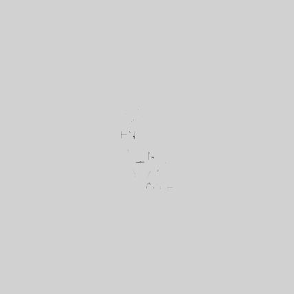 CC1(C)CC1CNCCc1ccc(C(=O)O)cc1N